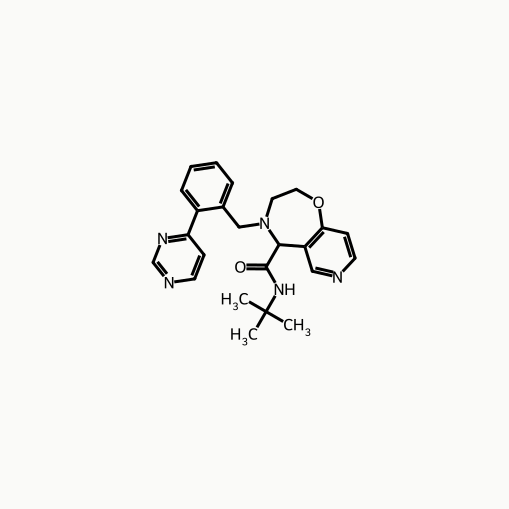 CC(C)(C)NC(=O)C1c2cnccc2OCCN1Cc1ccccc1-c1ccncn1